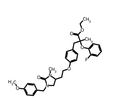 CCOC(=O)C(C)(Cc1ccc(OCCC2CN(Cc3ccc(OC)cc3)C(=O)N2C)cc1)Oc1ccccc1F